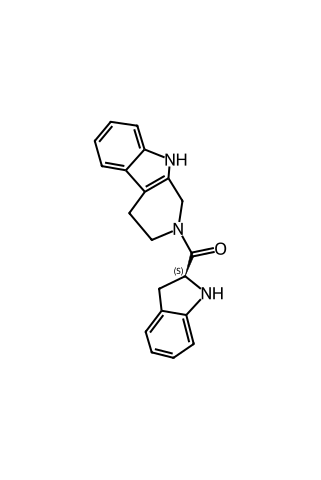 O=C([C@@H]1Cc2ccccc2N1)N1CCc2c([nH]c3ccccc23)C1